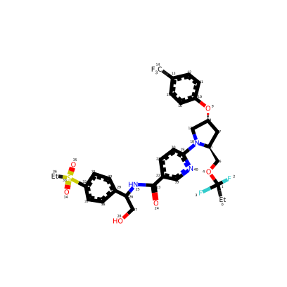 CCC(F)(F)OC[C@@H]1C[C@@H](Oc2ccc(C(F)(F)F)cc2)CN1c1ccc(C(=O)NC(CO)c2ccc(S(=O)(=O)CC)cc2)cn1